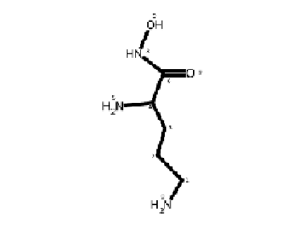 NCCCC(N)C(=O)NO